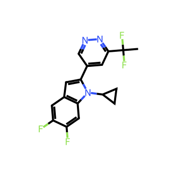 CC(F)(F)c1cc(-c2cc3cc(F)c(F)cc3n2C2CC2)cnn1